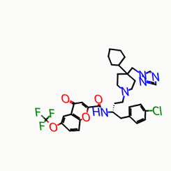 O=C(N[C@H](CCN1CCC(Cn2cncn2)(C2CCCCC2)CC1)Cc1ccc(Cl)cc1)c1cc(=O)c2cc(OC(F)(F)F)ccc2o1